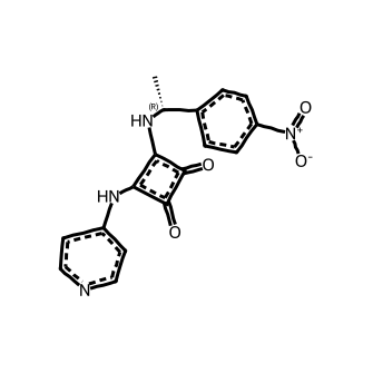 C[C@@H](Nc1c(Nc2ccncc2)c(=O)c1=O)c1ccc([N+](=O)[O-])cc1